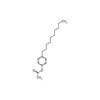 CCCCCCCCCCc1ccc(OC(C)=O)cc1